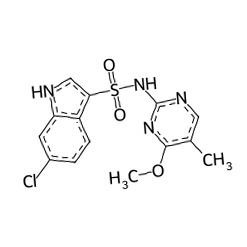 COc1nc(NS(=O)(=O)c2c[nH]c3cc(Cl)ccc23)ncc1C